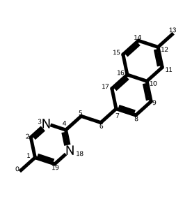 Cc1cnc(CCc2ccc3cc(C)ccc3c2)nc1